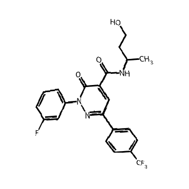 CC(CCO)NC(=O)c1cc(-c2ccc(C(F)(F)F)cc2)nn(-c2cccc(F)c2)c1=O